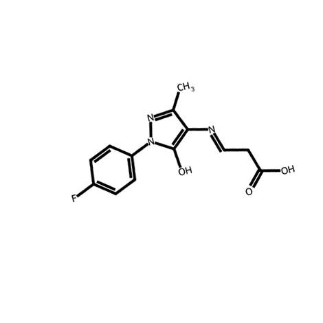 Cc1nn(-c2ccc(F)cc2)c(O)c1N=CCC(=O)O